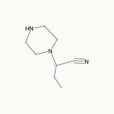 CC[C](C#N)N1CCNCC1